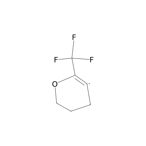 FC(F)(F)C1=[C]CCCO1